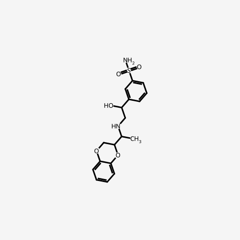 CC(NCC(O)c1cccc(S(N)(=O)=O)c1)C1COc2ccccc2O1